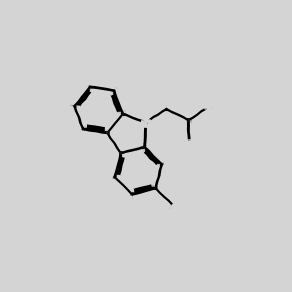 CCCCC(CC)Cn1c2ccccc2c2ccc(C)cc21